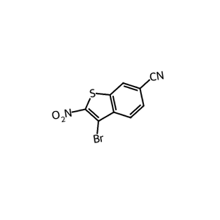 N#Cc1ccc2c(Br)c([N+](=O)[O-])sc2c1